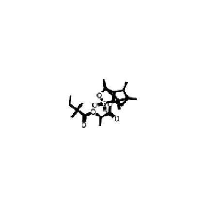 CCC(C)(C)C(=O)OC(C)C(=O)OC1(C)C2(C)CC3C(C2C)C1(C)OS3(=O)=O